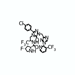 O=C(NC(Cn1c(-c2ccc(Cl)cc2)nn(Cc2ncn(-c3ncccc3C(F)(F)F)n2)c1=O)C(F)(F)F)[C@@H]1C[C@@H](F)CN1